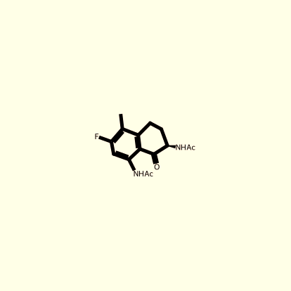 CC(=O)Nc1cc(F)c(C)c2c1C(=O)[C@H](NC(C)=O)CC2